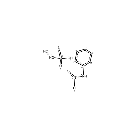 Cl.O=S(=O)(O)O.O=[N+]([O-])Nc1ccccc1